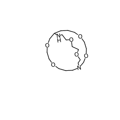 C1COCCOCN2CCCOCCOCC(C1)NCCOCCOCC2